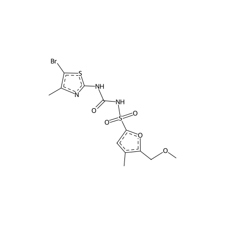 COCc1oc(S(=O)(=O)NC(=O)Nc2nc(C)c(Br)s2)cc1C